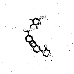 Cc1cc(N)nc(C)c1CNC(=O)c1ccc2c(c1)c1oc2c2ccc(N3CCOCC3=O)cc21